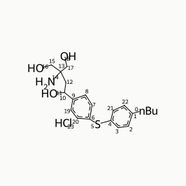 CCCCc1ccc(Sc2ccc(C(O)CC(N)(CO)CO)cc2)cc1.Cl